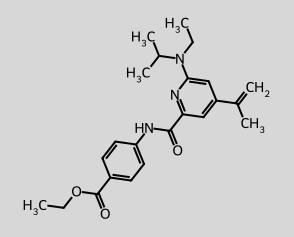 C=C(C)c1cc(C(=O)Nc2ccc(C(=O)OCC)cc2)nc(N(CC)C(C)C)c1